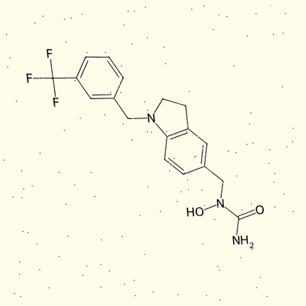 NC(=O)N(O)Cc1ccc2c(c1)CCN2Cc1cccc(C(F)(F)F)c1